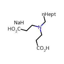 CCCCCCCCN(CCC(=O)O)CCC(=O)O.[NaH]